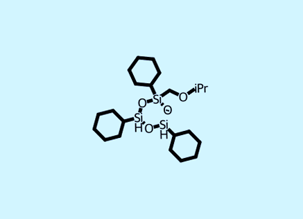 CC(C)OC[Si]1(C2CCCCC2)O[SiH](C2CCCCC2)O[SiH](C2CCCCC2)O1